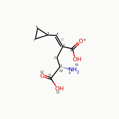 N[C@@H](C/C(=C\C1CC1)C(=O)O)C(=O)O